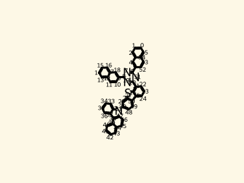 c1ccc2cc(-c3nc(-c4ccc5ccccc5c4)nc(-c4cccc5c4sc4cc(-n6c7ccccc7c7c8ccccc8ccc76)ccc45)n3)ccc2c1